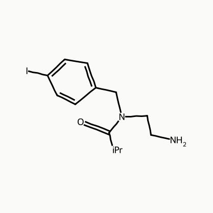 CC(C)C(=O)N(CCN)Cc1ccc(I)cc1